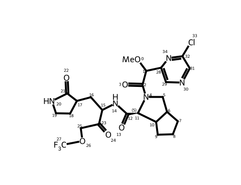 COC(C(=O)N1CC2CCCC2[C@H]1C(=O)NC(CC1CCNC1=O)C(=O)COC(F)(F)F)c1cncc(Cl)n1